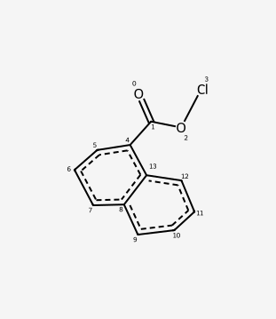 O=C(OCl)c1cccc2ccccc12